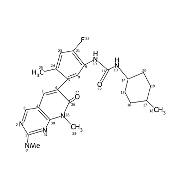 CNc1ncc2cc(-c3cc(NC(=O)NC4CCC(C)CC4)c(F)cc3C)c(=O)n(C)c2n1